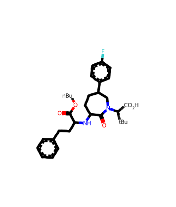 CCCCOC(=O)C(CCc1ccccc1)NC1CCC(c2ccc(F)cc2)CN(C(C(=O)O)C(C)(C)C)C1=O